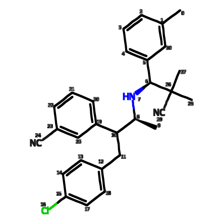 Cc1cccc([C@H](N[C@@H](C)C(Cc2ccc(Cl)cc2)c2cccc(C#N)c2)C(C)(C)C#N)c1